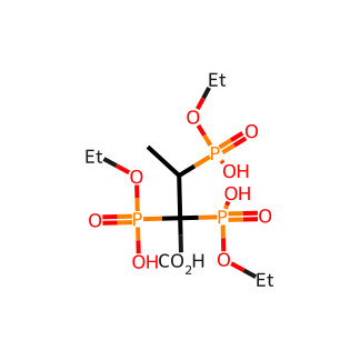 CCOP(=O)(O)C(C)C(C(=O)O)(P(=O)(O)OCC)P(=O)(O)OCC